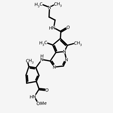 CONC(=O)c1ccc(C)c(Nc2ncnn3c(C)c(C(=O)NCCN(C)C)c(C)c23)c1